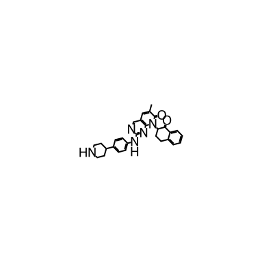 Cc1cc2cnc(Nc3ccc(C4CCNCC4)cc3)nc2n(C2CCc3ccccc3C2=O)c1=O